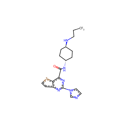 O=C(N[C@H]1CC[C@H](NCCC(F)(F)F)CC1)c1nc(-n2ccnc2)nc2ccsc12